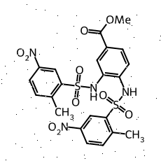 COC(=O)c1ccc(NS(=O)(=O)c2cc([N+](=O)[O-])ccc2C)c(NS(=O)(=O)c2cc([N+](=O)[O-])ccc2C)c1